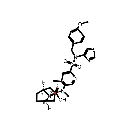 COc1ccc(CN(c2cscn2)S(=O)(=O)c2cc(C)c(N(C)[C@H]3C[C@H]4CC[C@@H](C3)N4C(=O)O)cn2)cc1